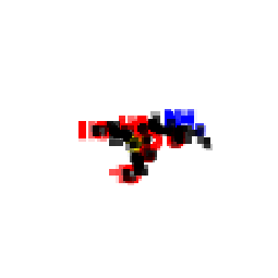 COC(N)C(CO)OP(=O)(OCCO)SCCCO